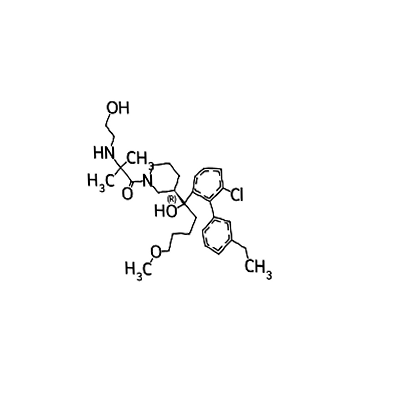 CCc1cccc(-c2c(Cl)cccc2C(O)(CCCCOC)[C@@H]2CCCN(C(=O)C(C)(C)NCCO)C2)c1